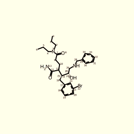 CCCN(CCC)C(=O)CCC(C(N)=O)[C@H](Cc1cccc(Br)c1)[C@@H](O)CNCc1ccccc1